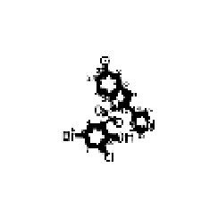 O=S(=O)(c1cc(Br)cc(Cl)c1O)n1c(-c2cncs2)cc2cc(Cl)ccc21